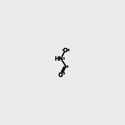 [O]NC=O